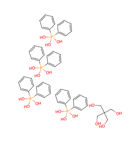 OCC(CO)(CO)CO.OP(O)(O)(c1ccccc1)c1ccccc1.OP(O)(O)(c1ccccc1)c1ccccc1.OP(O)(O)(c1ccccc1)c1ccccc1.OP(O)(O)(c1ccccc1)c1ccccc1